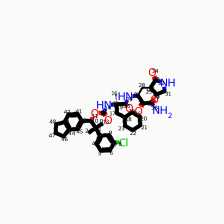 CC(C)(c1cccc(Cl)c1)C(OC(=O)N[C@](C)(CC1CCCCC1)C(=O)N[C@@H](C[C@@H]1CCNC1=O)C(=O)C(N)=O)c1ccc2c(c1)CCC2